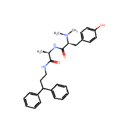 C[C@@H](NC(=O)[C@H](Cc1ccc(O)cc1)N(C)C)C(=O)NCCC(c1ccccc1)c1ccccc1